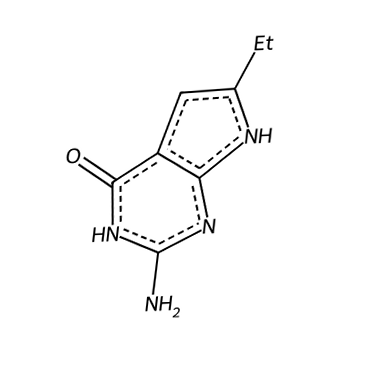 CCc1cc2c(=O)[nH]c(N)nc2[nH]1